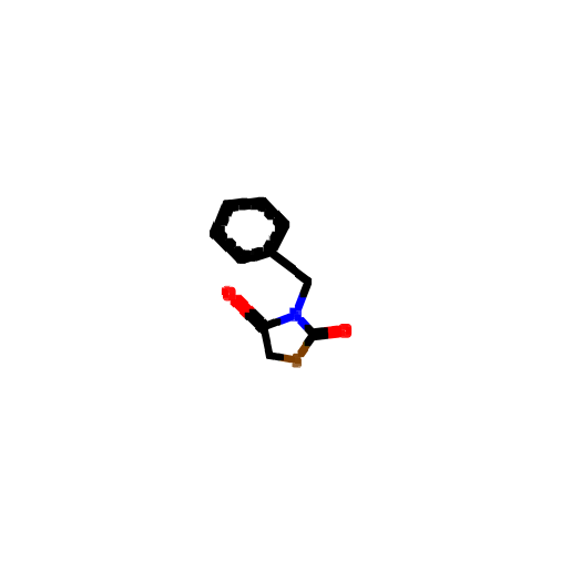 O=C1CSC(=O)N1Cc1ccccc1